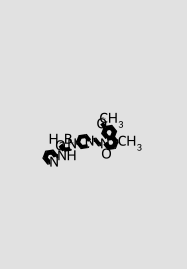 BN(CC(=O)Nc1ccccn1)C1CCN(CCn2c(=O)cc(C)c3ccc(OC)cc32)CC1